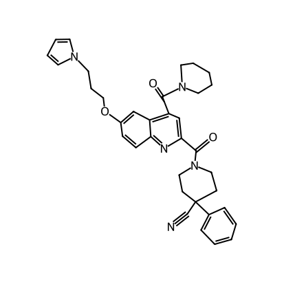 N#CC1(c2ccccc2)CCN(C(=O)c2cc(C(=O)N3CCCCC3)c3cc(OCCCn4cccc4)ccc3n2)CC1